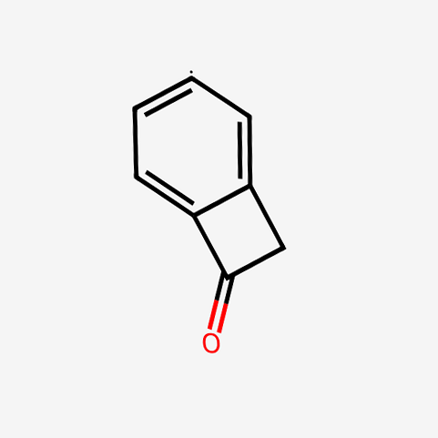 O=C1Cc2c[c]ccc21